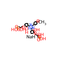 COc1ccc(-c2nc(-c3cccc(OCC(O)CS(=O)(=O)O)c3O)nc(-c3cccc(OCC(O)CS(=O)(=O)O)c3O)n2)cc1.[NaH]